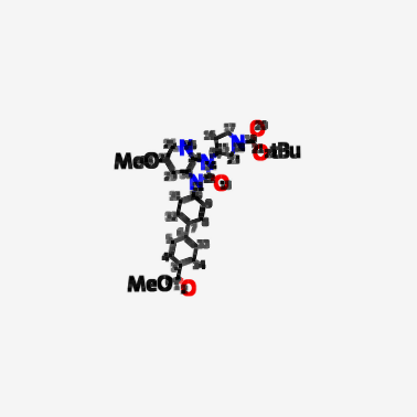 COC(=O)c1ccc(-c2ccc(-n3c(=O)n([C@H]4CCN(C(=O)OC(C)(C)C)C4)c4ncc(OC)cc43)cc2)cc1